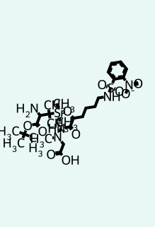 CN(CC(=O)O)NC(=O)C(CCCCNS(=O)(=O)c1ccccc1[N+](=O)[O-])O[Si](C)(C)C(C)(C)C(N)C(=O)OC(C)(C)C